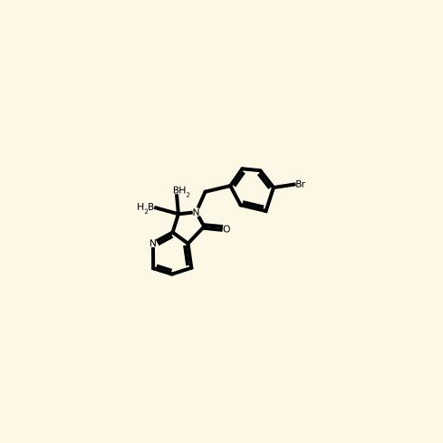 BC1(B)c2ncccc2C(=O)N1Cc1ccc(Br)cc1